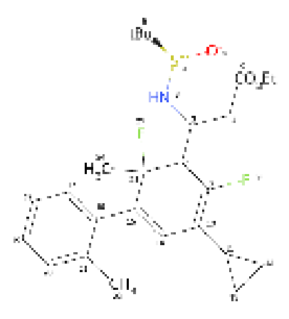 CCOC(=O)CC(N[S@+]([O-])C(C)(C)C)C1C(F)=C(C2CC2)C=C(c2ccccc2C)C1(C)F